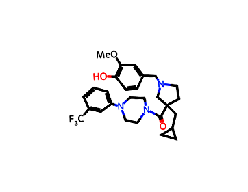 COc1cc(CN2CCC(CC3CC3)(C(=O)N3CCN(c4cccc(C(F)(F)F)c4)CC3)C2)ccc1O